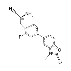 Cn1c(=O)oc2ccc(-c3ccc(C[C@H](N)C#N)c(F)c3)cc21